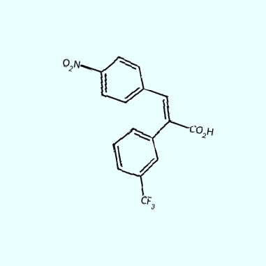 O=C(O)C(=Cc1ccc([N+](=O)[O-])cc1)c1cccc(C(F)(F)F)c1